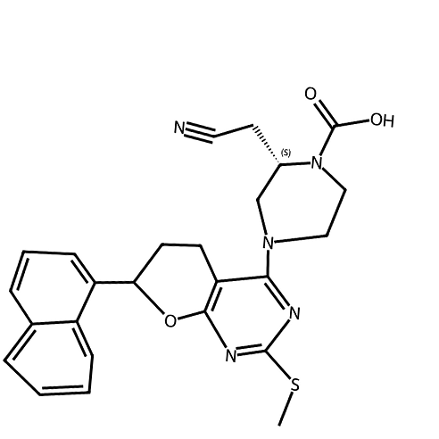 CSc1nc2c(c(N3CCN(C(=O)O)[C@@H](CC#N)C3)n1)CCC(c1cccc3ccccc13)O2